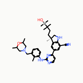 Cc1c(CN2CC(C)OC(C)C2)cccc1Nc1nccc(-c2cc(C#N)c3c(c2)[C@@](C)(CCC(C)(C)[Si](C)(C)O)CN3)n1